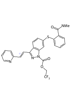 CNC(=O)c1ccccc1Sc1ccc2c(/C=C/c3ccccn3)nn(C(=O)OCC(F)(F)F)c2c1